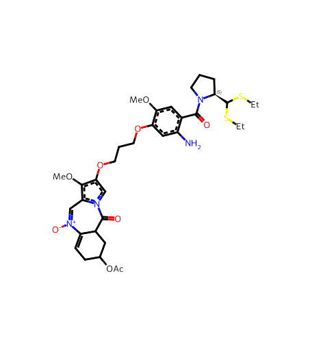 CCSC(SCC)[C@@H]1CCCN1C(=O)c1cc(OC)c(OCCCOc2cn3c(c2OC)C=[N+]([O-])C2=CCC(OC(C)=O)CC2C3=O)cc1N